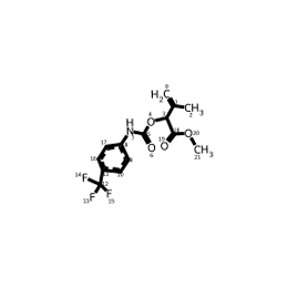 C=C(C)C(OC(=O)Nc1ccc(C(F)(F)F)cc1)C(=O)OC